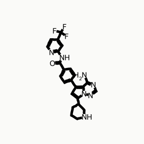 Nc1ncnn2c(C3CCCNC3)cc(-c3ccc(C(=O)Nc4cc(C(F)(F)F)ccn4)cc3)c12